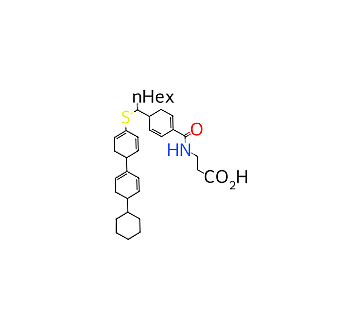 CCCCCCC(SC1=CCC(C2=CCC(C3CCCCC3)C=C2)C=C1)C1C=CC(C(=O)NCCC(=O)O)=CC1